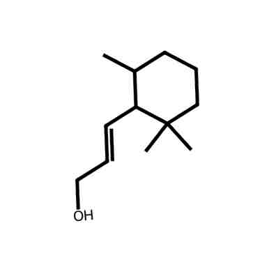 CC1CCCC(C)(C)C1/C=C/CO